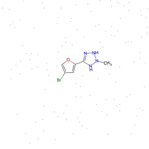 CN1NN=C(c2cc(Br)co2)N1